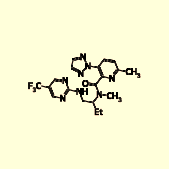 CCC(CNc1ncc(C(F)(F)F)cn1)N(C)C(=O)c1nc(C)ccc1-n1nccn1